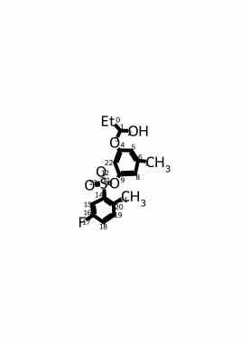 CCC(O)Oc1cc(C)cc(OS(=O)(=O)c2cc(F)ccc2C)c1